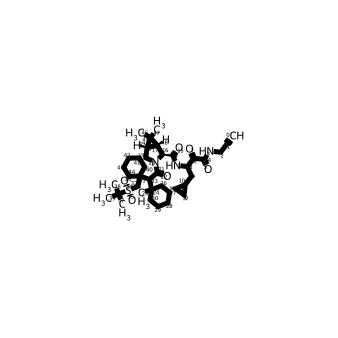 C#CCNC(=O)C(=O)C(CC1CC1)NC(=O)[C@@H]1[C@@H]2[C@H](CN1C(=O)C(C1(C)CCCCC1)C1(CS(=O)(=O)C(C)(C)C)CCCCC1)C2(C)C